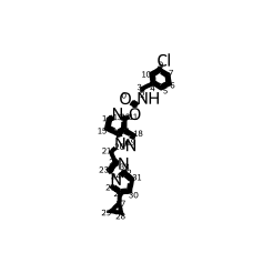 O=C(NCc1cccc(Cl)c1)Oc1nccc2c1cnn2Cc1cn2cc(C3CC3)ccc2n1